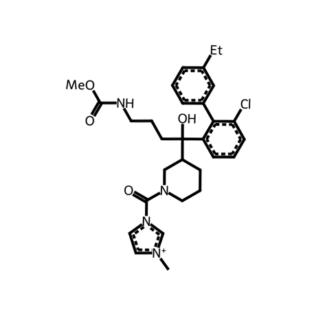 CCc1cccc(-c2c(Cl)cccc2C(O)(CCCNC(=O)OC)C2CCCN(C(=O)n3cc[n+](C)c3)C2)c1